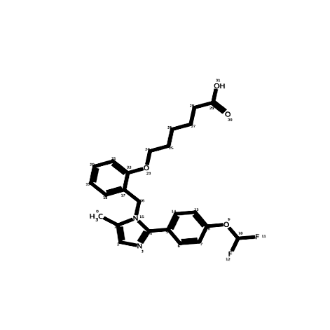 Cc1cnc(-c2ccc(OC(F)F)cc2)n1Cc1ccccc1OCCCCCC(=O)O